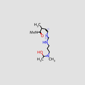 CNC(=O)C(C)/C=C\N=C\NCCCN(C)C(C)O